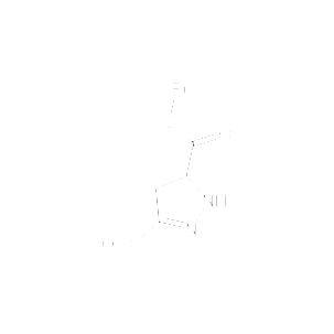 CCOC(=O)C1CC(C=O)=NN1